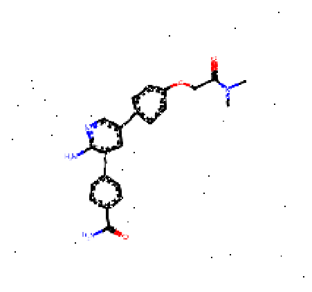 CN(C)C(=O)COc1ccc(-c2cnc(N)c(-c3ccc(C(N)=O)cc3)c2)cc1